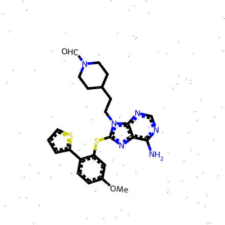 COc1ccc(-c2cccs2)c(Sc2nc3c(N)ncnc3n2CCC2CCN(C=O)CC2)c1